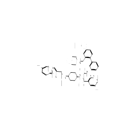 O=c1c2cc(F)cnc2n(-c2cccc(-c3ccc(O)cc3CN3CCOCC3)c2)c(=O)n1C1CCC(NCc2cn3cc(F)ccc3n2)CC1